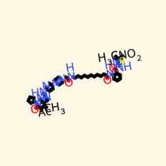 CC(=O)c1c(C)c2cnc(Nc3ccc(N4CCN(CC(=O)NCCCCCCCCCCC(=O)Nc5ccccc5C(=O)Nc5nc(C)c([N+](=O)[O-])s5)CC4)cn3)nc2n(C2CCCC2)c1=O